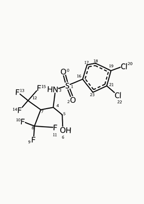 O=S(=O)(NC(CO)C(C(F)(F)F)C(F)(F)F)c1ccc(Cl)c(Cl)c1